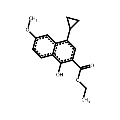 CCOC(=O)c1cc(C2CC2)c2cc(OC)ccc2c1O